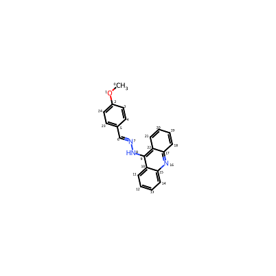 COc1ccc(/C=N/Nc2c3ccccc3nc3ccccc23)cc1